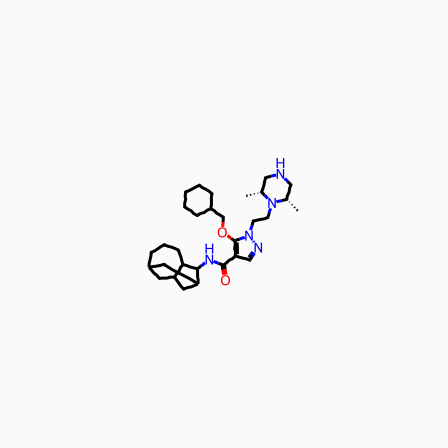 C[C@@H]1CNC[C@H](C)N1CCn1ncc(C(=O)NC2C3CC4CCCC2C(C4)C3)c1OCC1CCCCC1